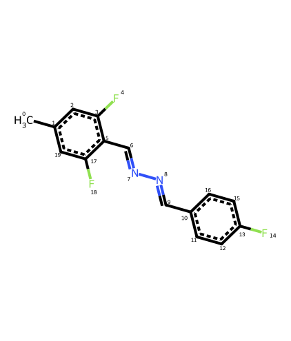 Cc1cc(F)c(C=NN=Cc2ccc(F)cc2)c(F)c1